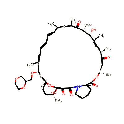 CC[C@@H](C)[C@@H]1CC(=O)[C@H](C)/C=C(\C)[C@@H](O)[C@@H](OC)C(=O)[C@H](C)C[C@H](C)/C=C/C=C/C=C(\C)[C@H](OC[C@@H]2COCCO2)C[C@@H]2CC[C@@H](C)[C@@](O)(O2)C(=O)C(=O)N2CCCC[C@H]2C(=O)O1